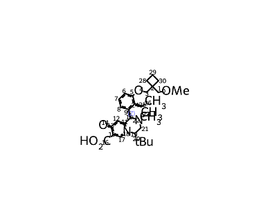 COCC1(COc2ccc/c(=C3\c4cc(=O)c(C(=O)O)cn4C(C(C)(C)C)CN3C)c2=C(C)C)CCC1